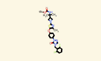 Cc1nc(N2CC(C(C)(C)NC(=O)OC(C)(C)C)C2)sc1Oc1ccc(-n2ncn(Cc3c(F)cccc3F)c2=O)cc1